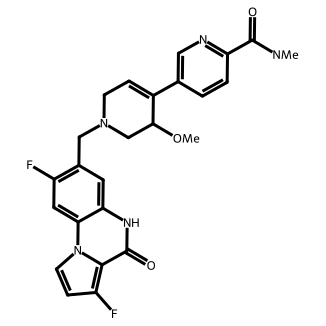 CNC(=O)c1ccc(C2=CCN(Cc3cc4[nH]c(=O)c5c(F)ccn5c4cc3F)CC2OC)cn1